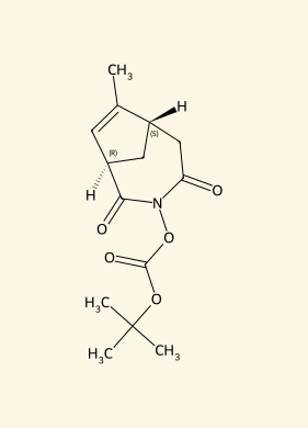 CC1=C[C@H]2C[C@H]1CC(=O)N(OC(=O)OC(C)(C)C)C2=O